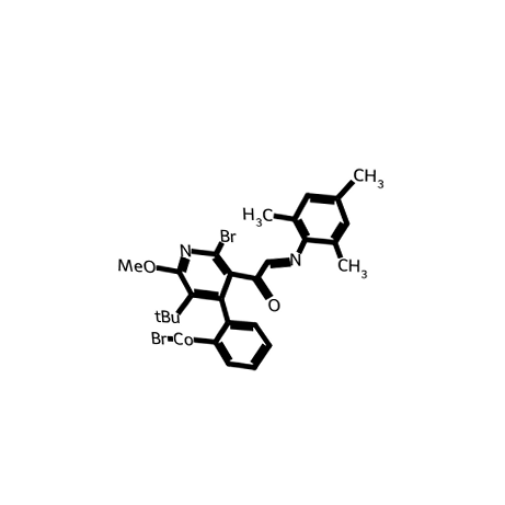 COc1nc(Br)c(C(=O)C=Nc2c(C)cc(C)cc2C)c(-c2cccc[c]2[Co][Br])c1C(C)(C)C